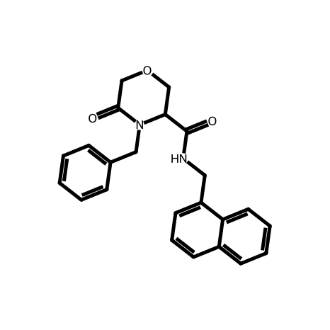 O=C(NCc1cccc2ccccc12)C1COCC(=O)N1Cc1ccccc1